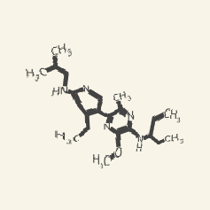 CCc1cc(NCC(C)C)ncc1-c1nc(OC)c(NC(CC)CC)nc1C